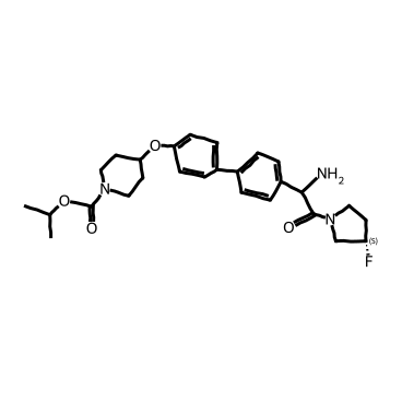 CC(C)OC(=O)N1CCC(Oc2ccc(-c3ccc(C(N)C(=O)N4CC[C@H](F)C4)cc3)cc2)CC1